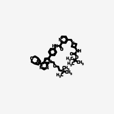 CC(C)(C)OC(=O)NC1CN(Cc2ccnc(C(=O)Nc3ccc(-c4cc5c(N6C7CCC6COC7)ncnc5n4COCC[Si](C)(C)C)cc3)c2)C1